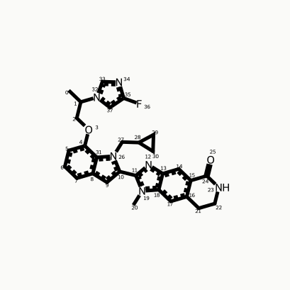 CC(COc1cccc2cc(-c3nc4cc5c(cc4n3C)CCNC5=O)n(CC3CC3)c12)n1cnc(F)c1